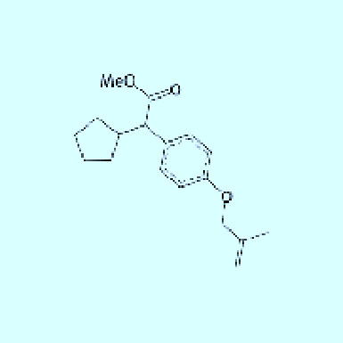 C=C(C)COc1ccc(C(C(=O)OC)C2CCCC2)cc1